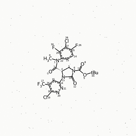 CN(C(=O)[C@@H]1CN(C(=O)OC(C)(C)C)C(=O)N1c1cc(C(F)(F)F)c(Cl)nn1)c1ccc(F)c(Cl)c1F